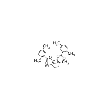 Cc1ccc(C)c(C(=O)OC2C(OC(=O)c3cc(C)ccc3C)C3(C(C)C)CCC2(C)CC3)c1